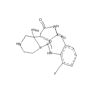 CCCCCCC1(C2=C(C)C(=O)NC2=O)CNCCN1C(=O)Nc1c(F)cccc1F